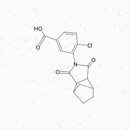 O=C(O)c1ccc(Cl)c(N2C(=O)C3C4CCC(C4)C3C2=O)c1